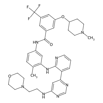 Cc1ccc(NC(=O)c2cc(OC3CCN(C)CC3)cc(C(F)(F)F)c2)cc1Nc1ncccc1-c1cc(NCCN2CCOCC2)ncn1